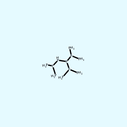 PP(P)PP(P(P)P)P(P)P